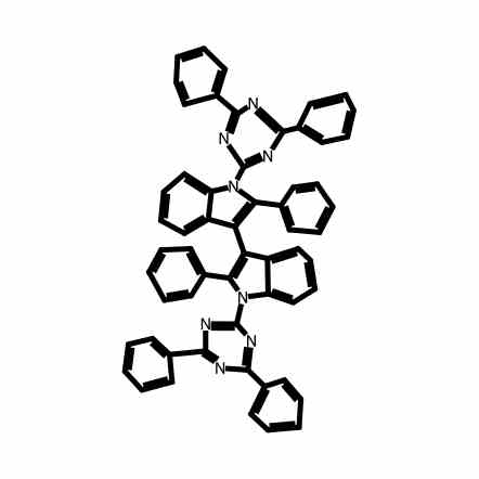 c1ccc(-c2nc(-c3ccccc3)nc(-n3c(-c4ccccc4)c(-c4c(-c5ccccc5)n(-c5nc(-c6ccccc6)nc(-c6ccccc6)n5)c5ccccc45)c4ccccc43)n2)cc1